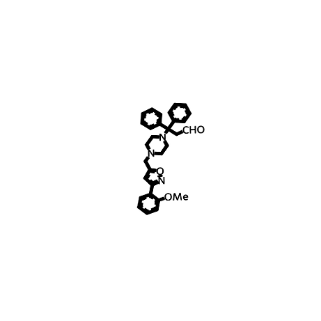 COc1ccccc1-c1cc(CN2CCN(C(CC=O)(c3ccccc3)c3ccccc3)CC2)on1